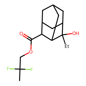 CCC1(O)C2CC3CC(C2)C(C(=O)OCC(C)(F)F)C1C3